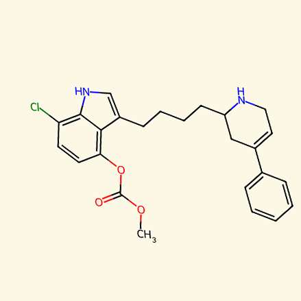 COC(=O)Oc1ccc(Cl)c2[nH]cc(CCCCC3CC(c4ccccc4)=CCN3)c12